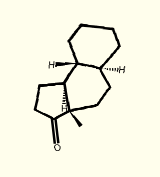 C[C@]12CC[C@@H]3CCCC[C@H]3[C@@H]1CCC2=O